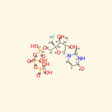 C=C1NC(=O)C=CN1[C@@H]1O[C@](CF)(COP(=O)(O)OP(=O)(O)OP(=O)(O)O)[C@@H](O)[C@@]1(C)O